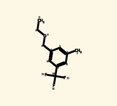 CCOCc1cc(C)cc(C(F)(F)F)c1